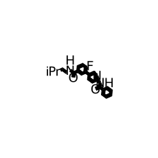 CC(C)CCNC(=O)c1ccc(F)c(-c2ccc(NC(=O)c3ccccc3)nc2)c1